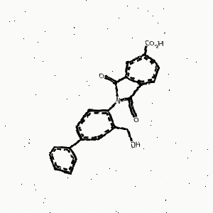 O=C(O)c1ccc2c(c1)C(=O)N(c1ccc(-c3ccccc3)cc1CO)C2=O